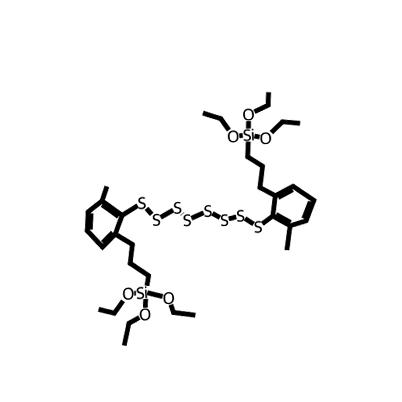 CCO[Si](CCCc1cccc(C)c1SSSSSSSSc1c(C)cccc1CCC[Si](OCC)(OCC)OCC)(OCC)OCC